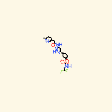 Cc1ccc(CC(=O)Nc2cc([C@H]3CC[C@@H](OC(=O)NCC(F)F)C3)[nH]n2)cn1